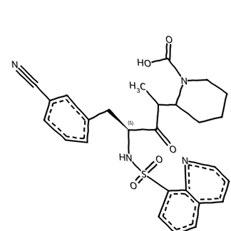 CC(C(=O)[C@H](Cc1cccc(C#N)c1)NS(=O)(=O)c1cccc2cccnc12)C1CCCCN1C(=O)O